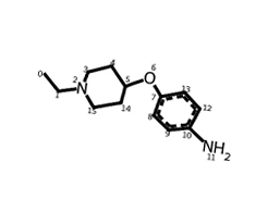 CCN1CCC(Oc2ccc(N)cc2)CC1